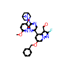 COc1ccc(CN2C3CC2CN(c2cnc(-c4cc(OCc5ccccc5)cn5nc(F)c(C=O)c45)cn2)C3)cn1